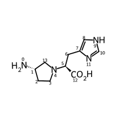 N[C@H]1CCN([C@@H](Cc2c[nH]cn2)C(=O)O)C1